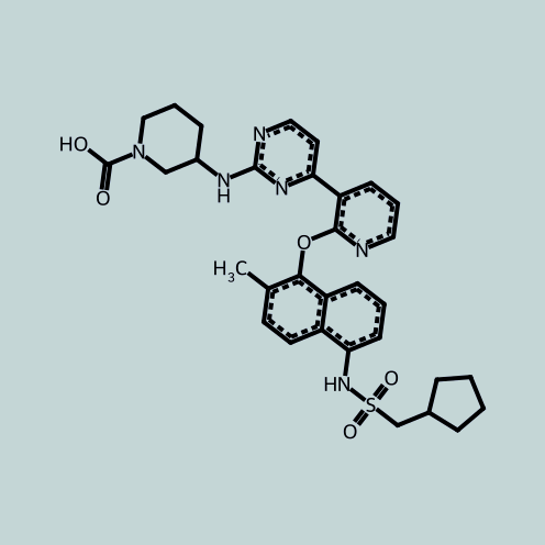 Cc1ccc2c(NS(=O)(=O)CC3CCCC3)cccc2c1Oc1ncccc1-c1ccnc(NC2CCCN(C(=O)O)C2)n1